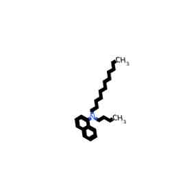 CCCCCCCCCCCCN(CCCC)c1cccc2ccccc12